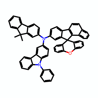 CC1(C)c2ccccc2-c2ccc(N(c3ccc4c(c3)C3(c5ccccc5Oc5ccccc53)c3c-4ccc4ccccc34)c3ccc4c(c3)c3ccccc3n4-c3ccccc3)cc21